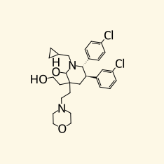 OCCC1(CCN2CCOCC2)C[C@H](c2cccc(Cl)c2)[C@@H](c2ccc(Cl)cc2)N(CC2CC2)C1O